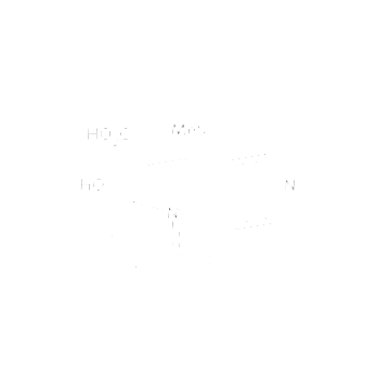 CSc1cncc2cc3n(c12)C(O)(C(C)C(=O)O)CC3